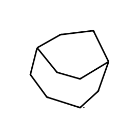 [CH]1CCC2CCC(C1)CC2